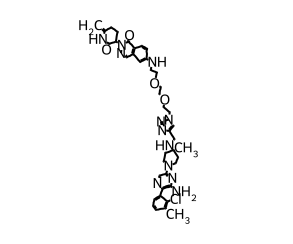 C=C1CCC(n2ncc3cc(NCCOCCOCCn4cc(CNC5(C)CCN(c6cnc(-c7cccc(C)c7Cl)c(N)n6)CC5)nn4)ccc3c2=O)C(=O)N1